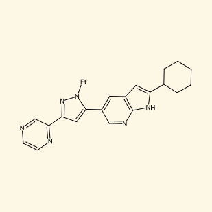 CCn1nc(-c2cnccn2)cc1-c1cnc2[nH]c(C3CCCCC3)cc2c1